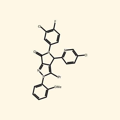 COc1ccccc1-n1nc2c(c1C(C)C)C(c1ccc(Cl)cn1)N(c1ccc(F)c(Cl)c1)C2=O